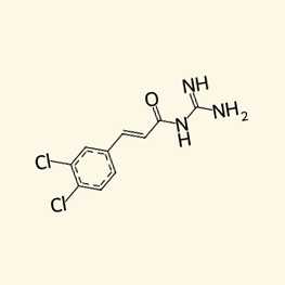 N=C(N)NC(=O)C=Cc1ccc(Cl)c(Cl)c1